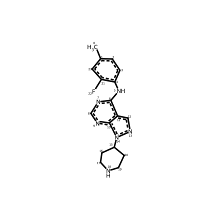 Cc1ccc(Nc2ncnc3c2cnn3C2CCNCC2)c(F)c1